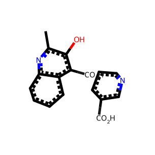 Cc1nc2ccccc2c(C(=O)O)c1O.O=C(O)c1cccnc1